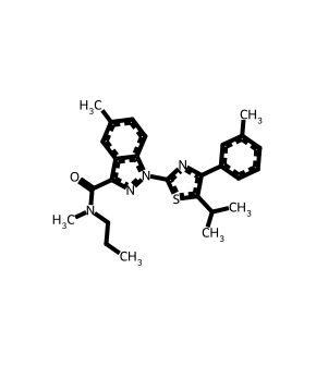 CCCN(C)C(=O)c1nn(-c2nc(-c3cccc(C)c3)c(C(C)C)s2)c2ccc(C)cc12